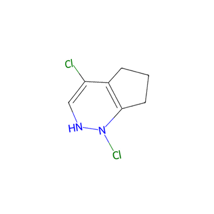 ClC1=CNN(Cl)C2=C1CCC2